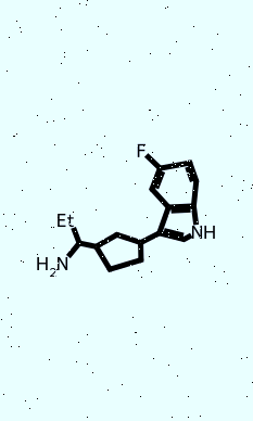 CCC(N)C1CCC(c2c[nH]c3ccc(F)cc23)C1